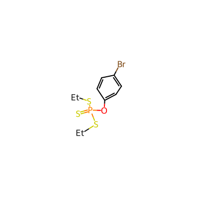 CCSP(=S)(Oc1ccc(Br)cc1)SCC